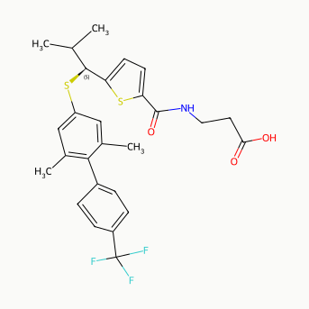 Cc1cc(S[C@H](c2ccc(C(=O)NCCC(=O)O)s2)C(C)C)cc(C)c1-c1ccc(C(F)(F)F)cc1